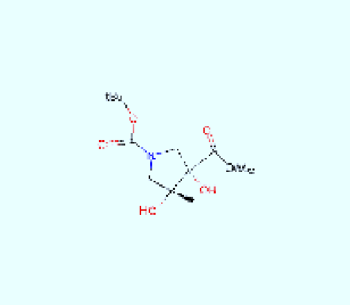 COC(=O)[C@]1(O)CN(C(=O)OC(C)(C)C)C[C@@]1(C)O